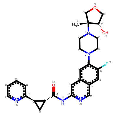 C[C@@]1(N2CCN(c3cc4cc(NC(=O)[C@@H]5C[C@H]5c5ccccn5)ncc4cc3F)CC2)COC[C@@H]1O